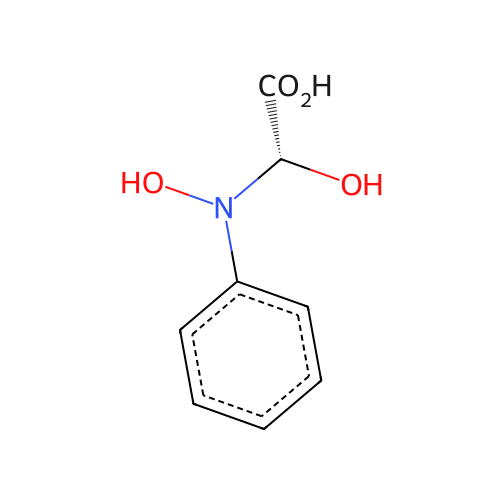 O=C(O)[C@H](O)N(O)c1ccccc1